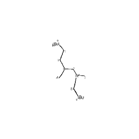 CCC(C)CCC(C)CN(C)CC(C)CC